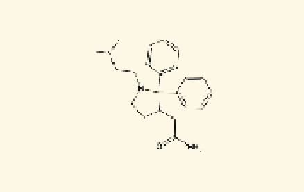 CN(C)CCN1CCC(CC(N)=O)C1(c1ccccc1)c1ccccc1